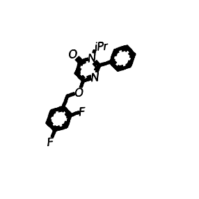 CC(C)n1c(-c2ccccc2)nc(OCc2ccc(F)cc2F)cc1=O